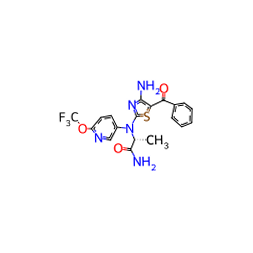 C[C@H](C(N)=O)N(c1ccc(OC(F)(F)F)nc1)c1nc(N)c(C(=O)c2ccccc2)s1